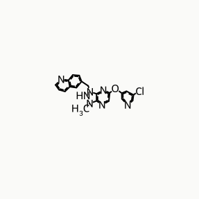 CN1NN(Cc2ccc3ncccc3c2)c2nc(Oc3cncc(Cl)c3)cnc21